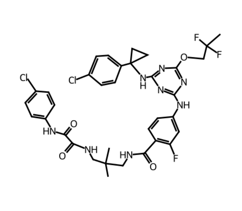 CC(F)(F)COc1nc(Nc2ccc(C(=O)NCC(C)(C)CNC(=O)C(=O)Nc3ccc(Cl)cc3)c(F)c2)nc(NC2(c3ccc(Cl)cc3)CC2)n1